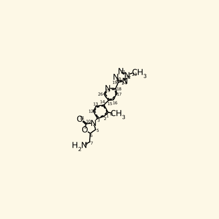 Cc1cc(N2CC(CN)OC2=O)ccc1-c1ccc(-c2nnn(C)n2)nc1